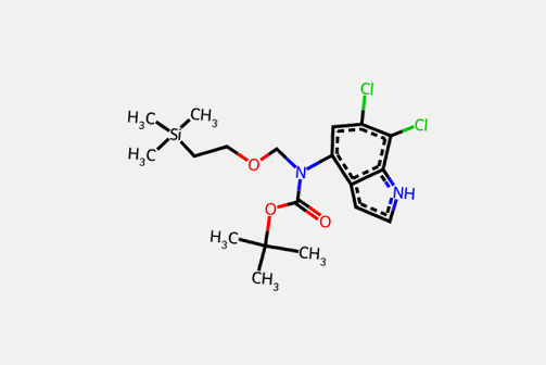 CC(C)(C)OC(=O)N(COCC[Si](C)(C)C)c1cc(Cl)c(Cl)c2[nH]ccc12